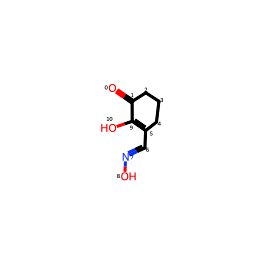 O=C1CCCC(C=NO)=C1O